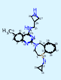 Cc1ccc2nc(N3CCS(=NC4CC4)c4ccccc4C3)nc(NCC3CNC3)c2c1